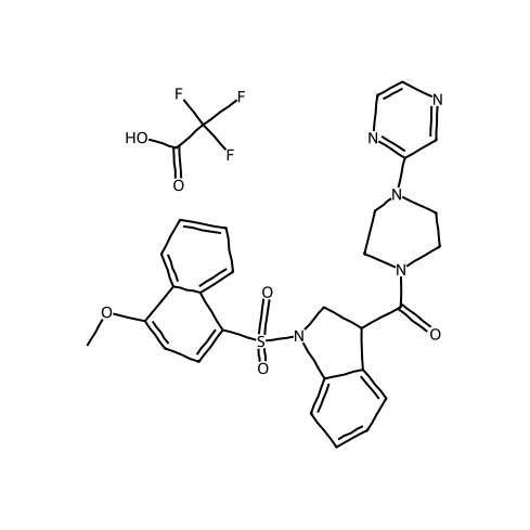 COc1ccc(S(=O)(=O)N2CC(C(=O)N3CCN(c4cnccn4)CC3)c3ccccc32)c2ccccc12.O=C(O)C(F)(F)F